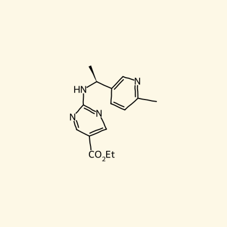 CCOC(=O)c1cnc(N[C@@H](C)c2ccc(C)nc2)nc1